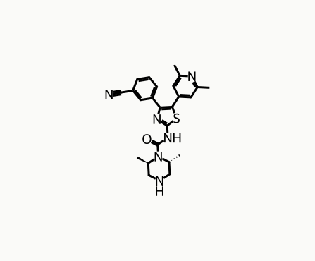 Cc1cc(-c2sc(NC(=O)N3[C@H](C)CNC[C@H]3C)nc2-c2cccc(C#N)c2)cc(C)n1